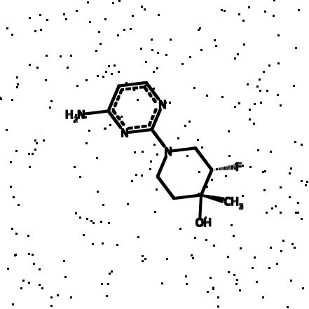 C[C@@]1(O)CCN(c2nccc(N)n2)C[C@@H]1F